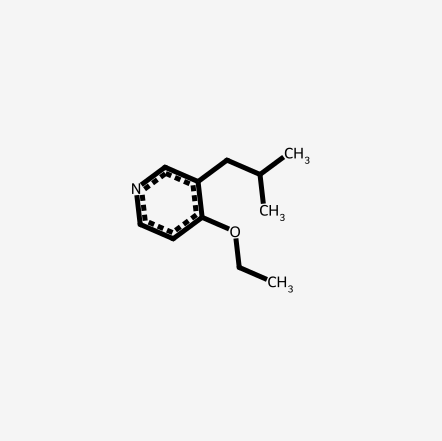 CCOc1ccncc1CC(C)C